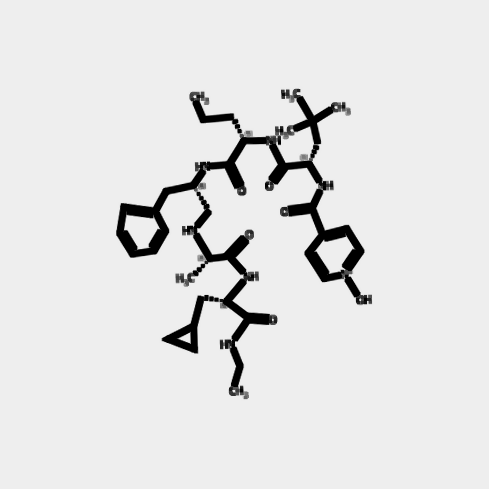 CCC[C@H](NC(=O)[C@H](CC(C)(C)C)NC(=O)c1cc[n+](O)cc1)C(=O)N[C@H](CN[C@@H](C)C(=O)N[C@@H](CC1CC1)C(=O)NCC)Cc1ccccc1